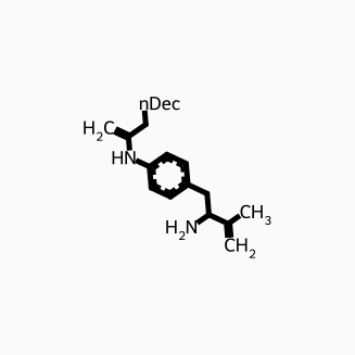 C=C(CCCCCCCCCCC)Nc1ccc(CC(N)C(=C)C)cc1